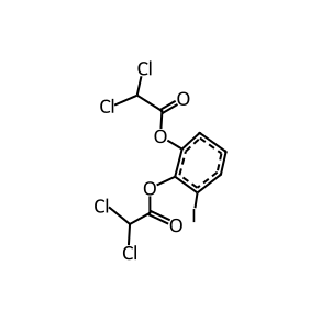 O=C(Oc1cccc(I)c1OC(=O)C(Cl)Cl)C(Cl)Cl